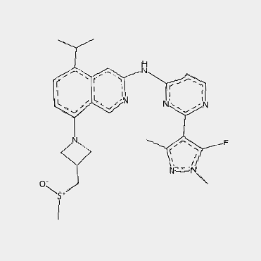 Cc1nn(C)c(F)c1-c1nccc(Nc2cc3c(C(C)C)ccc(N4CC(C[S+](C)[O-])C4)c3cn2)n1